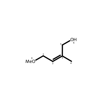 COCC=C(C)CO